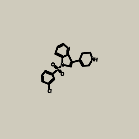 O=S(=O)(c1cccc(Cl)c1)n1cc(C2=CCNCC2)c2ncccc21